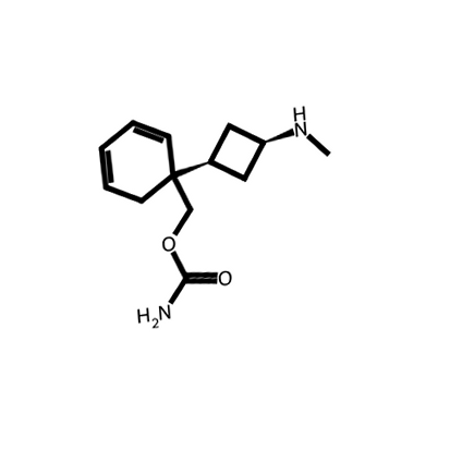 CN[C@H]1C[C@@H](C2(COC(N)=O)C=CC=CC2)C1